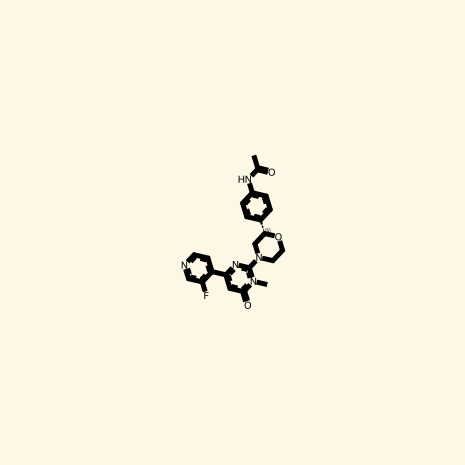 CC(=O)Nc1ccc([C@H]2CN(c3nc(-c4ccncc4F)cc(=O)n3C)CCO2)cc1